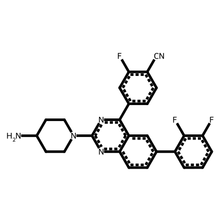 N#Cc1ccc(-c2nc(N3CCC(N)CC3)nc3ccc(-c4cccc(F)c4F)cc23)cc1F